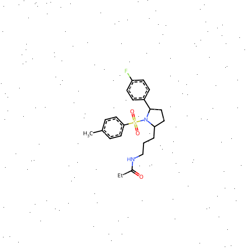 CCC(=O)NCCCC1CCC(c2ccc(F)cc2)N1S(=O)(=O)c1ccc(C)cc1